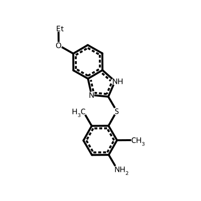 CCOc1ccc2[nH]c(Sc3c(C)ccc(N)c3C)nc2c1